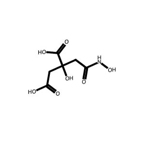 O=C(O)CC(O)(CC(=O)NO)C(=O)O